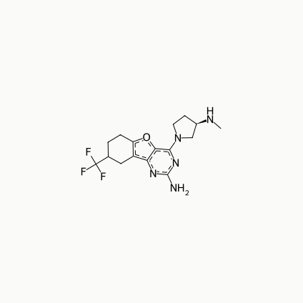 CN[C@@H]1CCN(c2nc(N)nc3c4c(oc23)CCC(C(F)(F)F)C4)C1